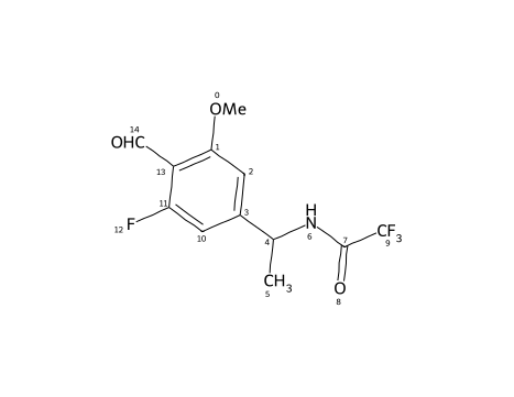 COc1cc(C(C)NC(=O)C(F)(F)F)cc(F)c1C=O